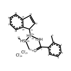 Cc1ccccc1C(=O)[NH][Hf+2]([CH]1C=Cc2ccccc21)[SiH](C)C.[Cl-].[Cl-]